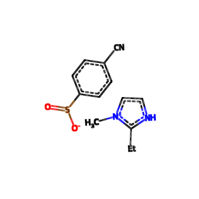 CCc1[nH]cc[n+]1C.N#Cc1ccc(S(=O)[O-])cc1